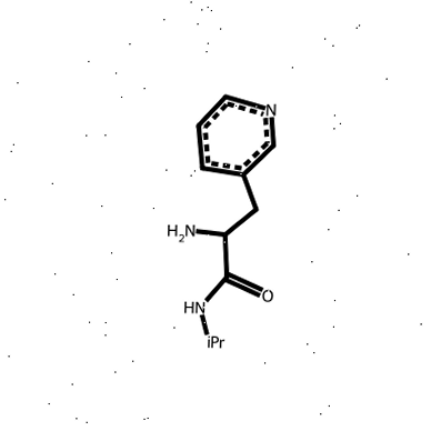 CC(C)NC(=O)C(N)Cc1cccnc1